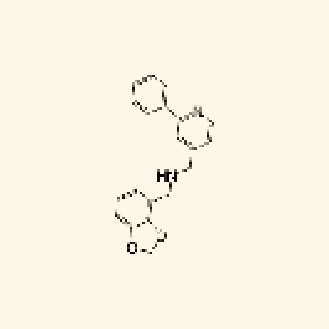 c1ccc(-c2cc(CNCc3cccc4c3OCO4)ccn2)cc1